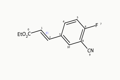 CCOC(=O)/C=C/c1ccc(F)c(C#N)c1